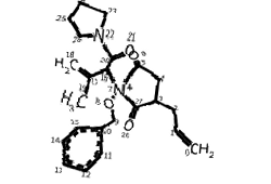 C=CCC1CC(=O)[N+](OCc2ccccc2)(C(C(=C)C)C(=O)N2CCCC2)C1=O